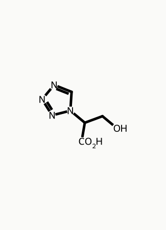 O=C(O)C(CO)n1cnnn1